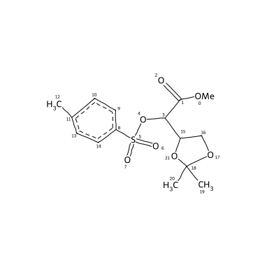 COC(=O)C(OS(=O)(=O)c1ccc(C)cc1)C1COC(C)(C)O1